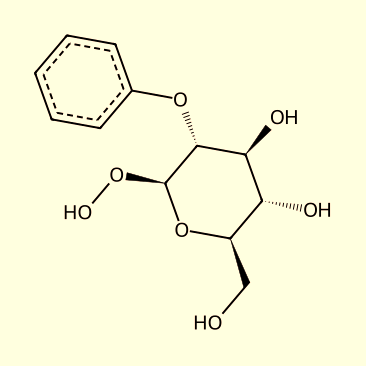 OC[C@H]1O[C@@H](OO)[C@H](Oc2ccccc2)[C@@H](O)[C@@H]1O